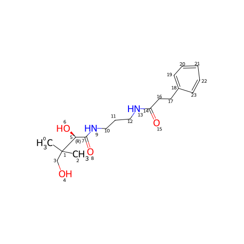 CC(C)(CO)[C@@H](O)C(=O)NCCCNC(=O)CCc1ccccc1